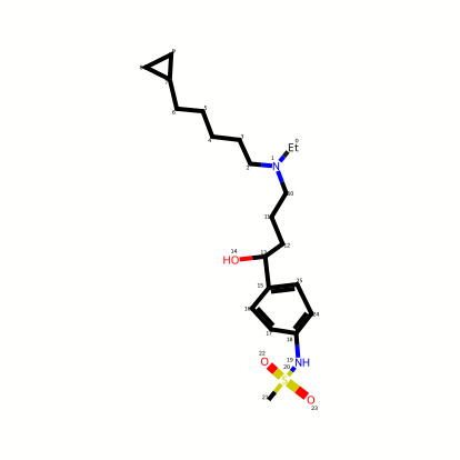 CCN(CCCCCC1CC1)CCCC(O)c1ccc(NS(C)(=O)=O)cc1